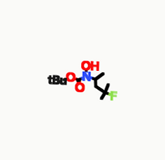 CC(CC(C)(C)F)N(O)C(=O)OC(C)(C)C